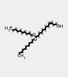 CCCCCCCCCCOC(CCCCCCC/C=C\CCO)OCCCCCCCCCC